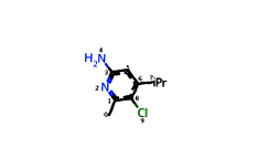 Cc1nc(N)cc(C(C)C)c1Cl